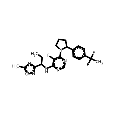 CCC(Nc1ncnc(N2CCCC2c2ccc(C(C)(F)F)cc2)c1F)c1noc(C)n1